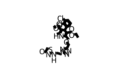 CCOC(=O)C1=C(COCc2nnn(CCNC3=NC(=O)CS3)n2)NC(C)=C(C(=O)OC)C1c1cccc(Cl)c1Cl